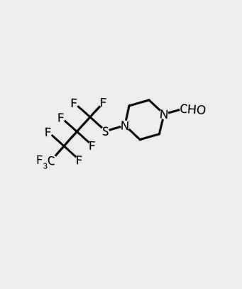 O=CN1CCN(SC(F)(F)C(F)(F)C(F)(F)C(F)(F)F)CC1